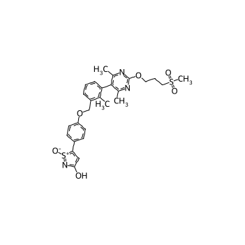 Cc1nc(OCCCS(C)(=O)=O)nc(C)c1-c1cccc(COc2ccc(-c3cc(O)n[s+]3[O-])cc2)c1C